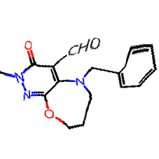 Cn1nc2c(c(C=O)c1=O)N(Cc1ccccc1)CCCO2